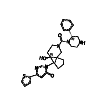 O=C(N1CC[C@@](O)(Cn2cnc(-c3cccs3)cc2=O)C2(CCCC2)C1)N1CCNC[C@H]1c1ccccc1